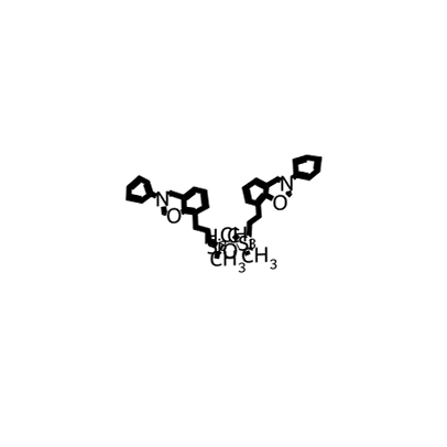 C[Si](C)(CCCc1cccc2c1OCN(c1ccccc1)C2)O[Si](C)(C)CCCc1cccc2c1OCN(c1ccccc1)C2